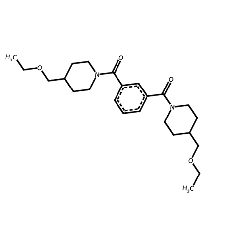 CCOCC1CCN(C(=O)c2cccc(C(=O)N3CCC(COCC)CC3)c2)CC1